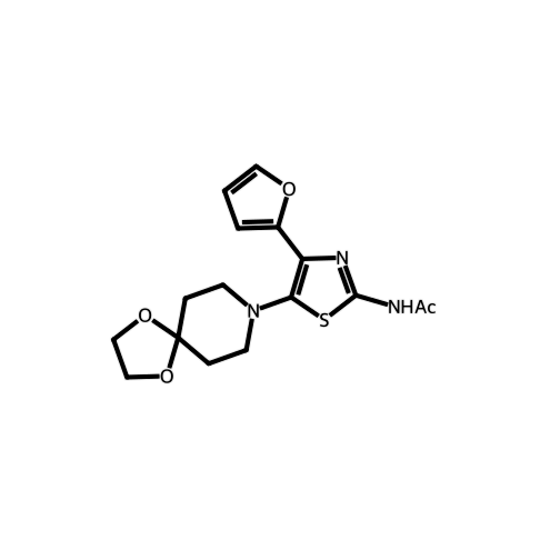 CC(=O)Nc1nc(-c2ccco2)c(N2CCC3(CC2)OCCO3)s1